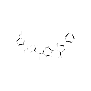 O=C(Nc1cnc(N2N=C(c3ccccc3)CC2=O)cn1)NS(=O)(=O)c1ccc(Cl)s1